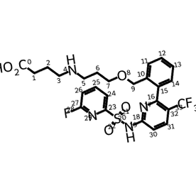 O=C(O)CCCNCCCOCc1ccccc1-c1nc(NS(=O)(=O)c2cccc(F)n2)ccc1C(F)(F)F